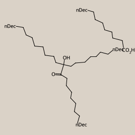 CCCCCCCCCCCCCCCCCC(=O)O.CCCCCCCCCCCCCCCCCCC(O)(CCCCCCCCCCCCCCCCC)C(=O)CCCCCCCCCCCCCCCCC